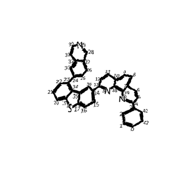 c1ccc(-c2ccc3ccc4ccc(-c5ccc6sc7cccc(-c8ccc9cnccc9c8)c7c6c5)nc4c3n2)cc1